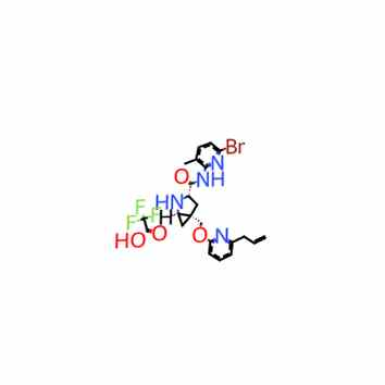 C=CCc1cccc(OC[C@@]23C[C@@H](C(=O)Nc4nc(Br)ccc4C)N[C@@H]2C3)n1.O=C(O)C(F)(F)F